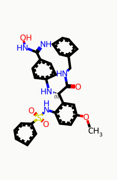 COc1ccc(NS(=O)(=O)c2ccccc2)c([C@H](Nc2ccc(C(=N)NO)cc2)C(=O)NCc2ccccc2)c1